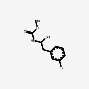 CC(C)(C)OC(=O)NC(O)Cc1cccc(Br)c1